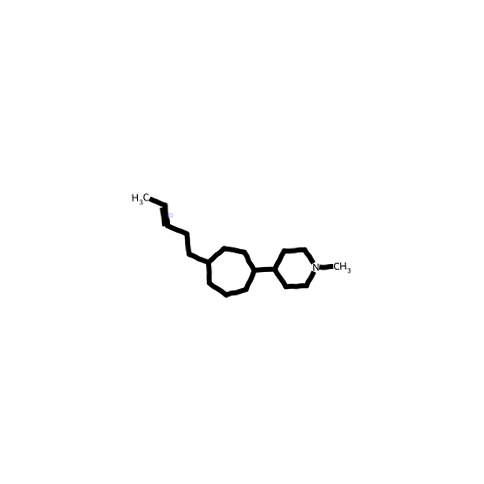 C/C=C/CCC1CCCC(C2CCN(C)CC2)CC1